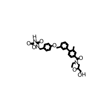 Cc1cc(C(=O)N2CCOC(CO)C2)ccc1-c1cccc(COc2ccc(Cn3oc(=O)[nH]c3=O)cc2)c1